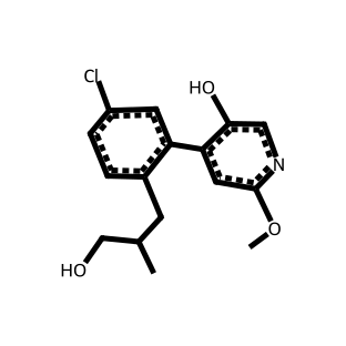 COc1cc(-c2cc(Cl)ccc2CC(C)CO)c(O)cn1